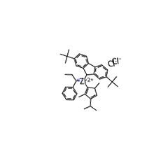 CC/[C](c1ccccc1)=[Zr+2](/[C]1=C(C)C(C(C)C)=CC1C)[CH]1c2cc(C(C)(C)C)ccc2-c2ccc(C(C)(C)C)cc21.[Cl-].[Cl-]